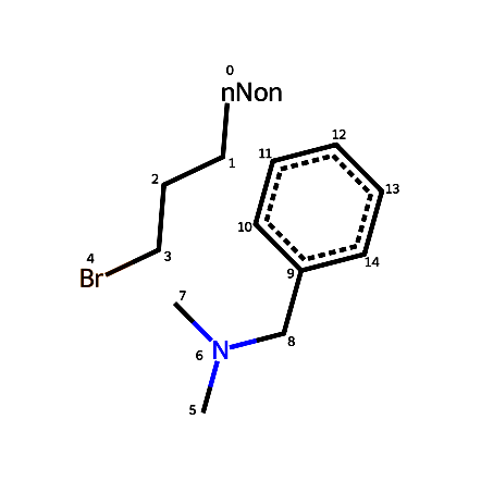 CCCCCCCCCCCCBr.CN(C)Cc1ccccc1